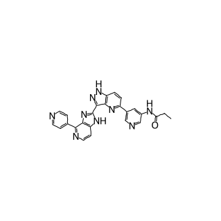 CCC(=O)Nc1cncc(-c2ccc3[nH]nc(-c4nc5c(-c6ccncc6)nccc5[nH]4)c3n2)c1